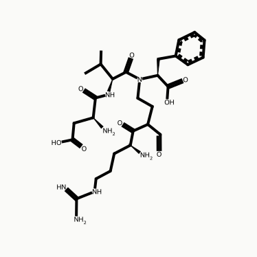 CC(C)[C@H](NC(=O)[C@@H](N)CC(=O)O)C(=O)N(CCC(C=O)C(=O)[C@@H](N)CCCNC(=N)N)[C@@H](Cc1ccccc1)C(=O)O